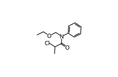 CCOCN(C(=O)C(C)Cl)c1ccccc1